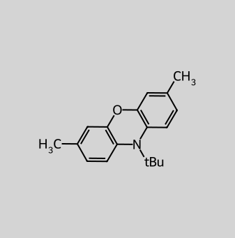 Cc1ccc2c(c1)Oc1cc(C)ccc1N2C(C)(C)C